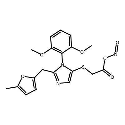 COc1cccc(OC)c1-n1c(SCC(=O)ON=O)cnc1Cc1ccc(C)o1